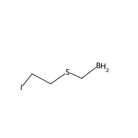 BCSCCI